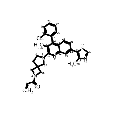 C=CC(=O)N1CC2(CCN(c3nc4cc(-c5scnc5C)ccc4c(-c4ccccc4Cl)c3C)C2)C1